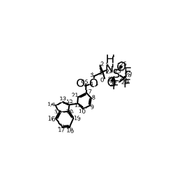 CC(C)(COC(=O)c1cccc(C2=CCc3ccccc32)c1)NS(=O)(=O)C(F)(F)F